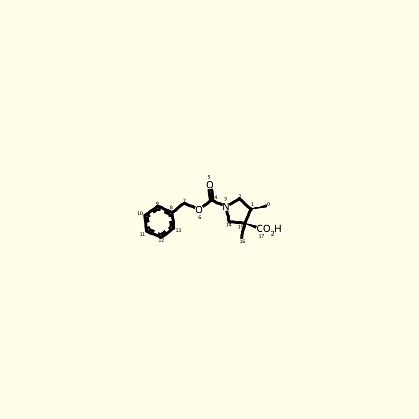 C[C@@H]1CN(C(=O)OCc2ccccc2)C[C@]1(C)C(=O)O